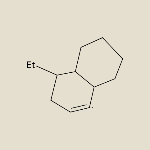 CCC1CC=[C]C2CCCCC21